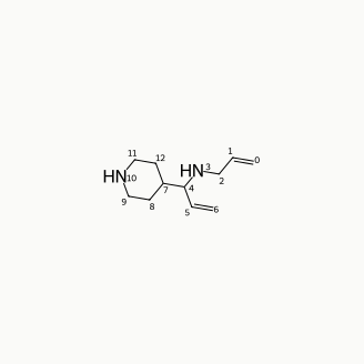 C=CCNC(C=C)C1CCNCC1